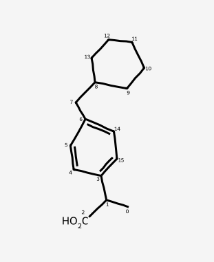 CC(C(=O)O)c1ccc(CC2CCCCC2)cc1